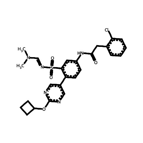 CN(C)C=NS(=O)(=O)c1cc(NC(=O)Cc2ccccc2Cl)ccc1-c1cnc(OC2CCC2)nc1